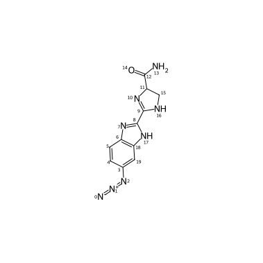 [N-]=[N+]=Nc1ccc2nc(C3=NC(C(N)=O)CN3)[nH]c2c1